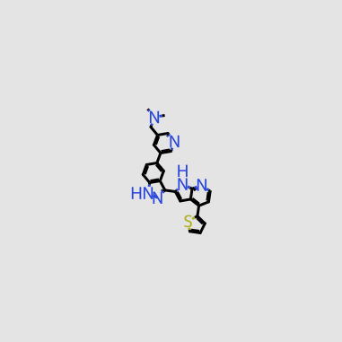 CN(C)Cc1cncc(-c2ccc3[nH]nc(-c4cc5c(-c6cccs6)ccnc5[nH]4)c3c2)c1